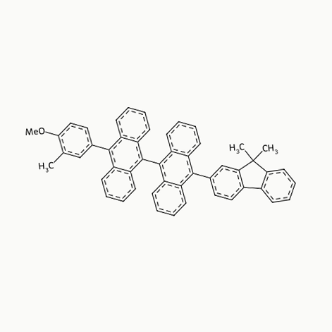 COc1ccc(-c2c3ccccc3c(-c3c4ccccc4c(-c4ccc5c(c4)C(C)(C)c4ccccc4-5)c4ccccc34)c3ccccc23)cc1C